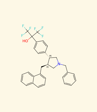 OC(c1ccc([C@@H]2CN(Cc3ccccc3)C[C@H]2Cc2cccc3ccccc23)cc1)(C(F)(F)F)C(F)(F)F